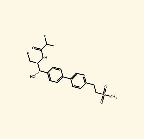 CS(=O)(=O)CCc1ccc(-c2ccc([C@H](O)[C@@H](CF)NC(=O)C(F)F)cc2)cn1